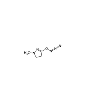 CN1CCC(ON=[N+]=[N-])=N1